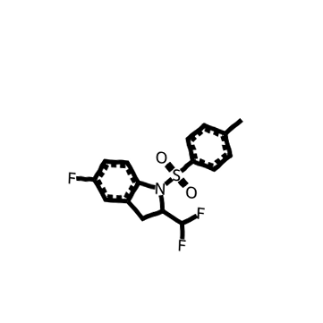 Cc1ccc(S(=O)(=O)N2c3ccc(F)cc3CC2C(F)F)cc1